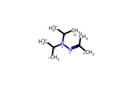 CC(C)=NN(C(C)C)C(C)C